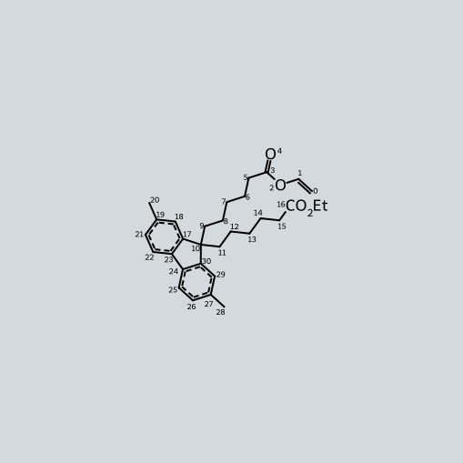 C=COC(=O)CCCCCC1(CCCCCC(=O)OCC)c2cc(C)ccc2-c2ccc(C)cc21